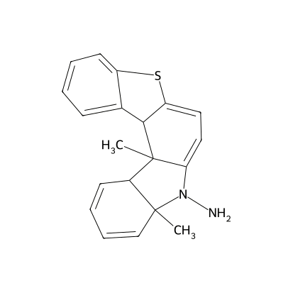 CC12C(=CC=C3Sc4ccccc4C31)N(N)C1(C)C=CC=CC21